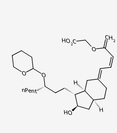 C=C(/C=C\C=C1/CC[C@H]2C[C@@H](O)[C@H](CC[C@H](CCCCC)OC3CCCCO3)[C@H]2C1)OCC(=O)O